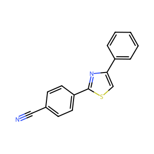 N#Cc1ccc(-c2nc(-c3ccccc3)cs2)cc1